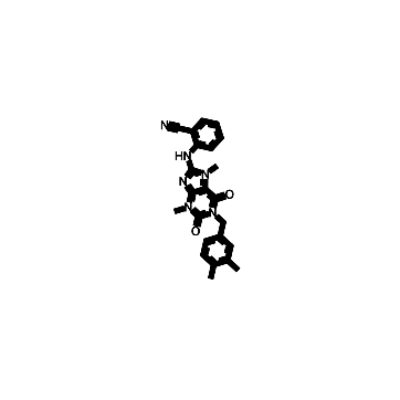 Cc1ccc(Cn2c(=O)c3c(nc(Nc4ccccc4C#N)n3C)n(C)c2=O)cc1C